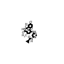 Cc1cc(Nc2cc(NC(=O)C3CC3)ncn2)c(=O)n2c1C(=O)NC2(C)c1cccc(Cl)c1